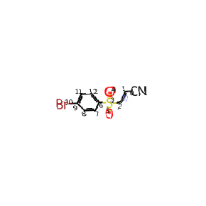 N#C/C=C/S(=O)(=O)c1ccc(Br)cc1